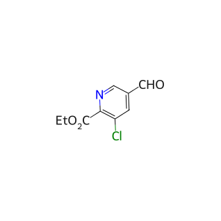 CCOC(=O)c1ncc(C=O)cc1Cl